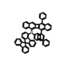 c1ccc(-c2ccc(N(c3cccc4c3-c3ccccc3C43c4ccccc4-c4ccccc43)c3c4c(cc5ccccc35)-c3c-4c(-c4ccccc4)c4ccccc4c3-c3ccccc3)cc2)cc1